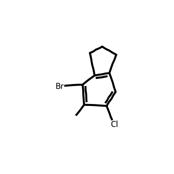 Cc1c(Cl)cc2c(c1Br)CCC2